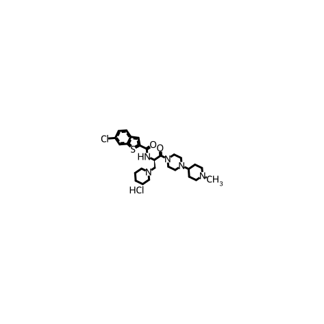 CN1CCC(N2CCN(C(=O)[C@@H](CN3CCCCC3)NC(=O)c3cc4ccc(Cl)cc4s3)CC2)CC1.Cl